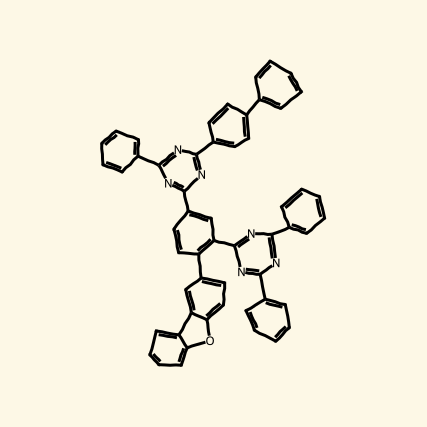 c1ccc(-c2ccc(-c3nc(-c4ccccc4)nc(-c4ccc(-c5ccc6oc7ccccc7c6c5)c(-c5nc(-c6ccccc6)nc(-c6ccccc6)n5)c4)n3)cc2)cc1